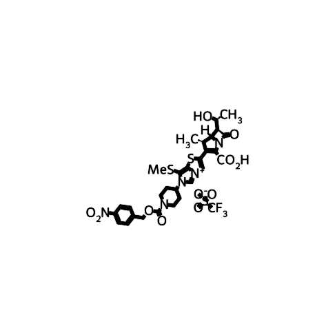 CSc1c2sc(C3=C(C(=O)O)N4C(=O)[C@H]([C@@H](C)O)[C@H]4[C@H]3C)c[n+]2cn1C1CCN(C(=O)OCc2ccc([N+](=O)[O-])cc2)CC1.O=S(=O)([O-])C(F)(F)F